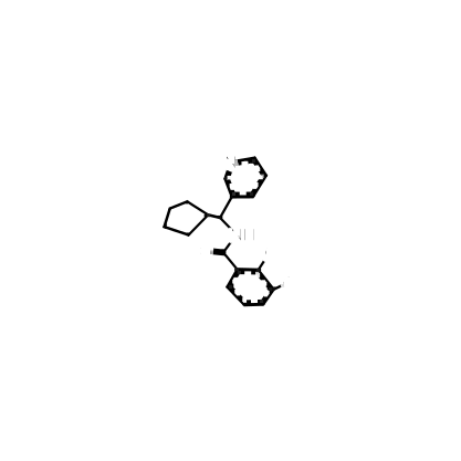 O=C(NC(c1cccnc1)C1CCCC1)c1cccc(Cl)c1Cl